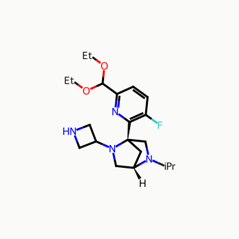 CCOC(OCC)c1ccc(F)c([C@@]23C[C@@H](CN2C2CNC2)N(C(C)C)C3)n1